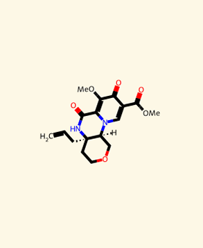 C=CC[C@@]12CCOC[C@@H]1n1cc(C(=O)OC)c(=O)c(OC)c1C(=O)N2